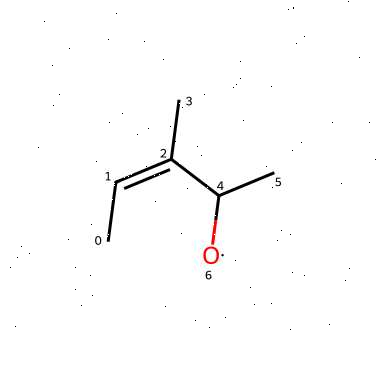 CC=C(C)C(C)[O]